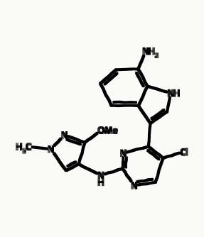 COc1nn(C)cc1Nc1ncc(Cl)c(-c2c[nH]c3c(N)cccc23)n1